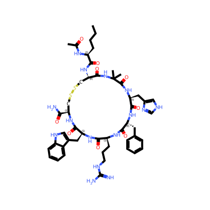 CCCC[C@H](NC(C)=O)C(=O)N[C@H]1CSSC[C@H](C(N)=O)NC(=O)[C@H](Cc2c[nH]c3ccccc23)NC(=O)[C@H](CCCNC(=N)N)NC(=O)[C@@H](Cc2ccccc2)NC(=O)[C@H](Cc2c[nH]cn2)NC(=O)C(C)(C)NC1=O